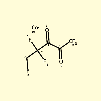 O=C(C(=O)C(F)(F)CF)C(F)(F)F.[Co]